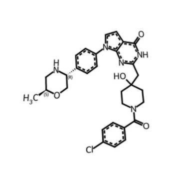 C[C@H]1CN[C@H](c2ccc(-n3ccc4c(=O)[nH]c(CC5(O)CCN(C(=O)c6ccc(Cl)cc6)CC5)nc43)cc2)CO1